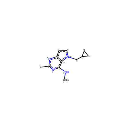 CCCCNc1nc(C)nc2ccn(CC3CC3)c12